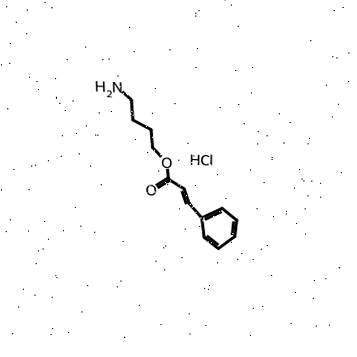 Cl.NCCCCOC(=O)/C=C/c1ccccc1